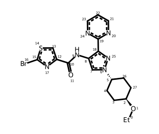 CCO[C@H]1CC[C@H](n2cc(NC(=O)c3csc(Br)n3)c(-c3ncccn3)n2)CC1